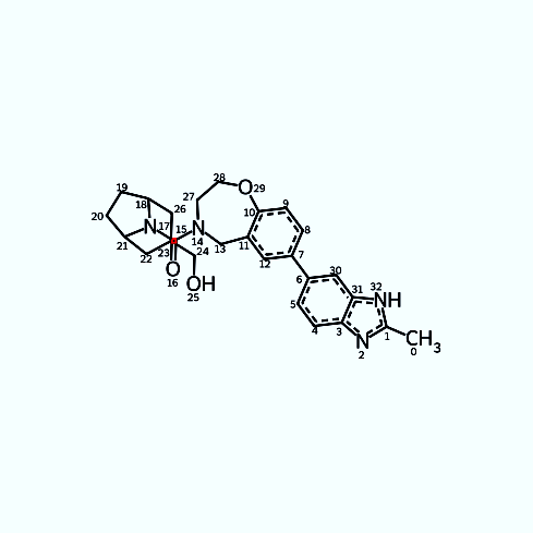 Cc1nc2ccc(-c3ccc4c(c3)CN(C(=O)N3C5CCC3CC(CO)C5)CCO4)cc2[nH]1